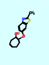 Cc1nc2ccc(OC3CCCCCC3O)cc2s1